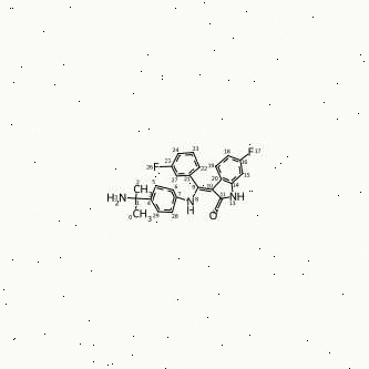 CC(C)(N)c1ccc(N/C(=C2\C(=O)Nc3cc(F)ccc32)c2cccc(F)c2)cc1